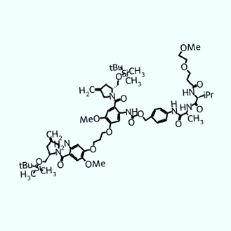 C=C1C[C@H](CO[Si](C)(C)C(C)(C)C)N(C(=O)c2cc(OC)c(OCCCOc3cc(NC(=O)OCc4ccc(NC(=O)[C@H](C)NC(=O)[C@@H](NC(=O)CCOCCOC)C(C)C)cc4)c(C(=O)N4CC(=C)C[C@@H]4CO[Si](C)(C)C(C)(C)C)cc3OC)cc2N)C1